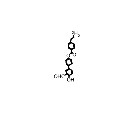 O=Cc1cc(-c2ccc(OC(=O)c3ccc(CCP)cc3)cc2)ccc1O